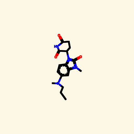 CCCN(C)c1ccc2c(c1)n(C)c(=O)n2C1CCC(=O)NC1=O